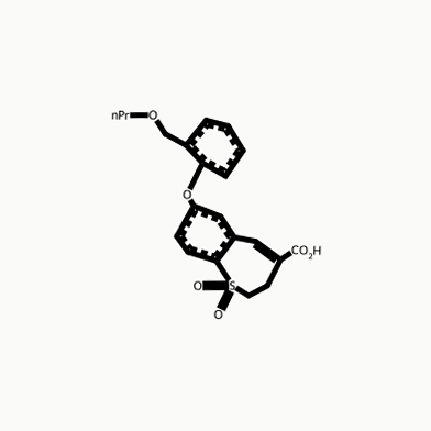 CCCOCc1ccccc1Oc1ccc2c(c1)C=C(C(=O)O)CCS2(=O)=O